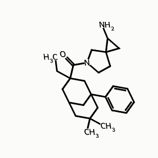 CCC1(C(=O)N2CCC3(CC3N)C2)CC2CC(C)(C)CC(c3ccccc3)(C2)C1